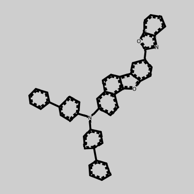 c1ccc(-c2ccc(N(c3ccc(-c4ccccc4)cc3)c3ccc4c(ccc5c6cc(-c7nc8ccccc8o7)ccc6oc45)c3)cc2)cc1